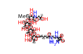 CO[C@H]1C(O)[C@H](NC(=O)CC(C)(C)O)C(C)O[C@H]1OC1[C@@H](O)C(C)O[C@@H](OC2[C@@H](O)C(C)O[C@@H](O[C@H]3C(O)[C@@H](O)C(C)O[C@@H]3OCCCCCC(=O)NCCNc3c(N)c(=O)c3=O)[C@H]2O)[C@H]1O